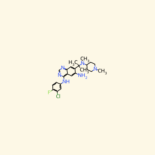 CN1CCC(N(C)C(C)(C)c2cc3ncnc(Nc4ccc(F)c(Cl)c4)c3cc2N)CC1